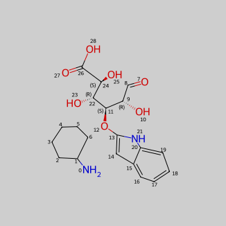 NC1CCCCC1.O=C[C@H](O)[C@@H](Oc1cc2ccccc2[nH]1)[C@H](O)[C@H](O)C(=O)O